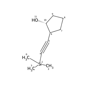 C[Si](C)(C)C#CC1CCC[C@H]1O